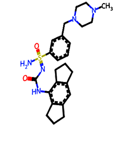 CN1CCN(Cc2cccc(S(N)(=O)=NC(=O)Nc3c4c(cc5c3CCC5)CCC4)c2)CC1